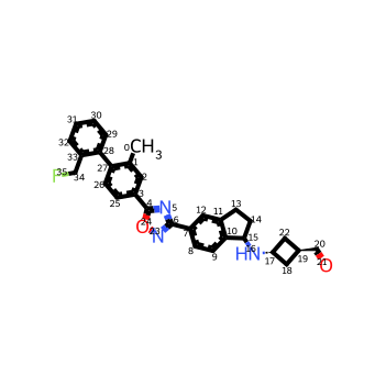 Cc1cc(-c2nc(-c3ccc4c(c3)CCC4N[C@H]3C[C@H](C=O)C3)no2)ccc1-c1ccccc1CF